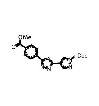 CCCCCCCCCCn1cc(-c2nnc(-c3ccc(C(=O)OC)cc3)s2)cn1